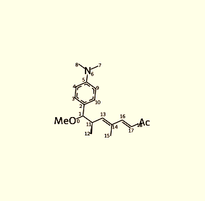 COC(c1ccc(N(C)C)cc1)[C@H](C)/C=C(C)/C=C/C(C)=O